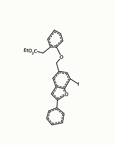 CCOC(=O)Cc1ccccc1OCc1cc(I)c2oc(-c3ccccc3)cc2c1